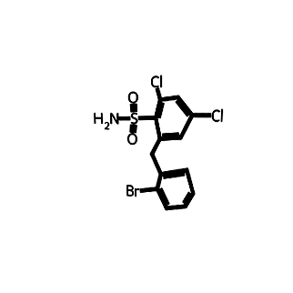 NS(=O)(=O)c1c(Cl)cc(Cl)cc1Cc1ccccc1Br